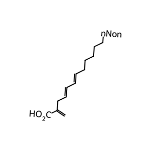 C=C(CC=CC=CCCCCCCCCCCCCCC)C(=O)O